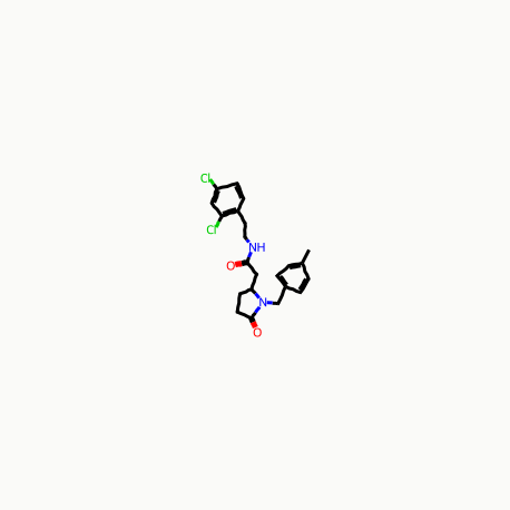 Cc1ccc(CN2C(=O)CCC2CC(=O)NCCc2ccc(Cl)cc2Cl)cc1